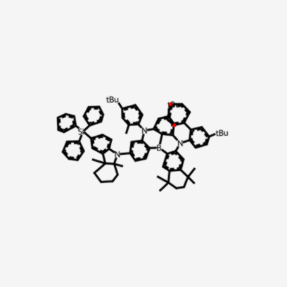 Cc1cc(C(C)(C)C)ccc1N1c2cc(N3c4ccc([Si](c5ccccc5)(c5ccccc5)c5ccccc5)cc4C4(C)CCCCC34C)ccc2B2c3cc4c(cc3N(c3ccc(C(C)(C)C)cc3-c3ccccc3)c3cc(C(C)(C)C)cc1c32)C(C)(C)CCC4(C)C